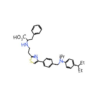 CCC(CC)c1ccc(N(Cc2ccc(-c3csc(CCNC(Cc4ccccc4)C(=O)O)n3)cc2)C(C)C)cc1